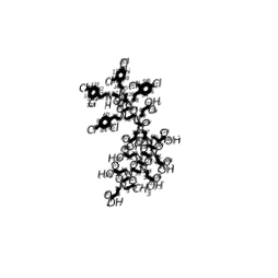 CC(=O)CN(CCC(=O)O)C(=O)CN(CCC(=O)O)C(=O)CN(CCC(=O)O)C(=O)CN(CCC(=O)O)C(=O)CN(CCC(=O)O)C(=O)CN(CCC(=O)O)C(=O)CN(CCC(=O)O)C(=O)CN(CCC(=O)O)C(=O)CN(CCc1ccc(Cl)cc1Cl)C(=O)CN(CCc1ccc(Cl)cc1Cl)C(=O)CN(CCc1ccc(Cl)cc1Cl)C(=O)CNCCc1ccc(Cl)cc1Cl